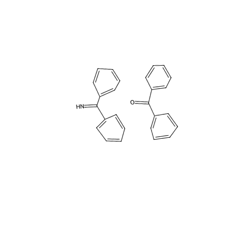 N=C(c1ccccc1)c1ccccc1.O=C(c1ccccc1)c1ccccc1